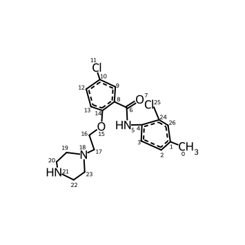 Cc1ccc(NC(=O)c2cc(Cl)ccc2OCCN2CCNCC2)c(Cl)c1